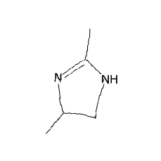 CC1=NC(C)CN1